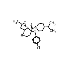 CC(C)CC1CC(Oc2ccc(Cl)cc2)(C(=O)N2CCC(C(C)C)CC2)CCN1